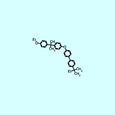 CCOc1ccc(C(C)(C)c2ccc(Oc3ccc(-c4ccc(C(C)(C)CC)cc4)cc3)cc2)cc1